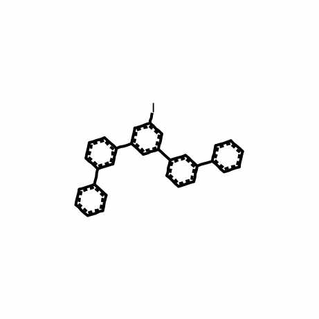 Ic1cc(-c2cccc(-c3ccccc3)c2)cc(-c2cccc(-c3ccccc3)c2)c1